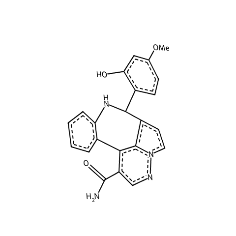 COc1ccc(C2Nc3ccccc3-c3c(C(N)=O)cnn4ccc2c34)c(O)c1